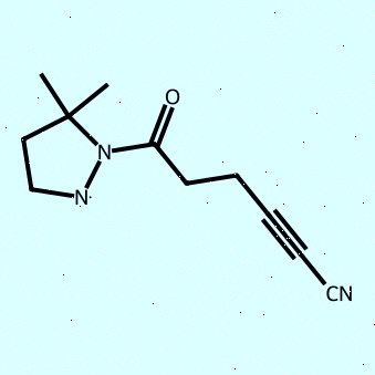 CC1(C)CC[N]N1C(=O)CCC#CC#N